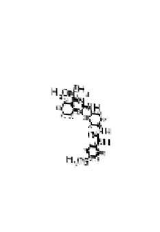 CSc1ccc(NC(=O)NC2CCC(Nc3nc4c(c(N(C)C)n3)CCCC4)CC2)cc1